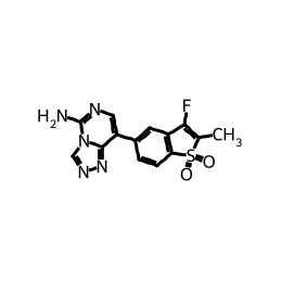 CC1=C(F)c2cc(-c3cnc(N)n4cnnc34)ccc2S1(=O)=O